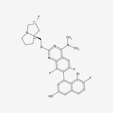 CCc1c(F)ccc2cc(O)cc(-c3c(F)cc4c(N(C)C)nc(OC[C@@]56CCCN5C[C@H](F)C6)nc4c3F)c12